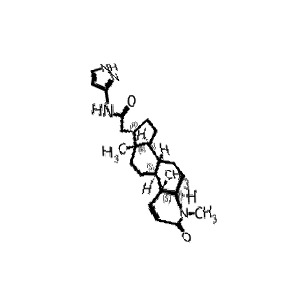 CN1C(=O)C=C[C@]2(C)[C@H]3CC[C@]4(C)[C@@H](CC(=O)Nc5cc[nH]n5)CC[C@H]4[C@@H]3CC[C@@H]12